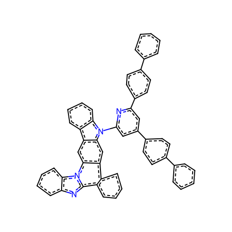 c1ccc(-c2ccc(-c3cc(-c4ccc(-c5ccccc5)cc4)nc(-n4c5ccccc5c5cc6c(cc54)c4ccccc4c4nc5ccccc5n64)c3)cc2)cc1